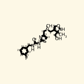 CN(CC1=CONC1(C)CO)Cc1csc(NC(=O)NCc2cccc(F)c2)n1